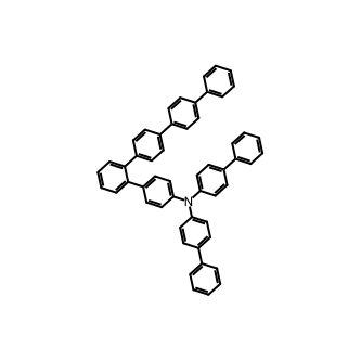 c1ccc(-c2ccc(-c3ccc(-c4ccccc4-c4ccc(N(c5ccc(-c6ccccc6)cc5)c5ccc(-c6ccccc6)cc5)cc4)cc3)cc2)cc1